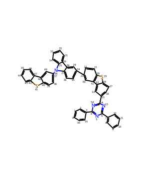 c1ccc(-c2nc(-c3ccccc3)nc(-c3ccc4sc5ccc(-c6ccc7c(c6)c6ccccc6n7-c6ccc7sc8ccccc8c7c6)cc5c4c3)n2)cc1